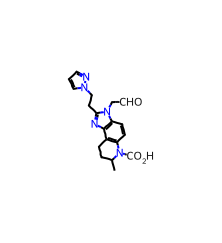 CC1CCc2c(ccc3c2nc(CCn2cccn2)n3CC=O)N1C(=O)O